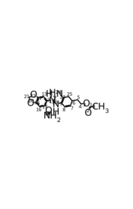 CC(=O)OCCC1C=CC(NNc2cc3c(cc2ON)OCO3)=C(N)C1